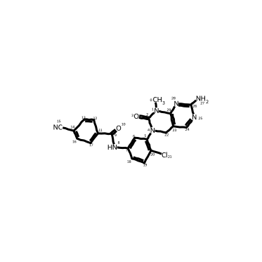 CN1C(=O)N(c2cc(NC(=O)c3ccc(C#N)cc3)ccc2Cl)Cc2cnc(N)nc21